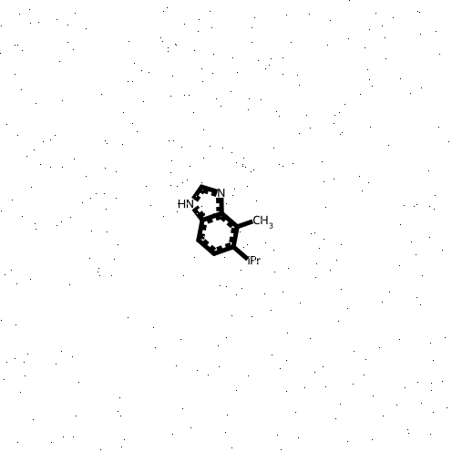 Cc1c(C(C)C)ccc2[nH]cnc12